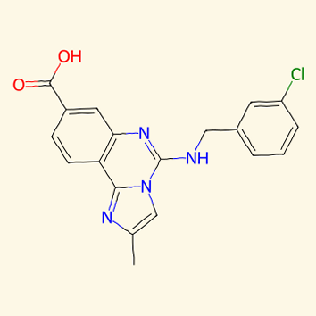 Cc1cn2c(NCc3cccc(Cl)c3)nc3cc(C(=O)O)ccc3c2n1